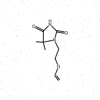 C=COCCN1C(=O)NC(=O)C1(C)C